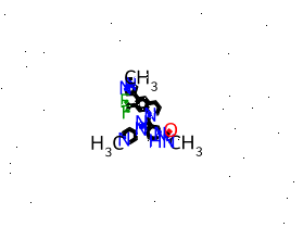 CNC(=O)N1CCc2c(c(N3CCCc4cc(-c5cnn(C)c5)c(C(F)F)cc43)nn2C2CCN(C)CC2)C1